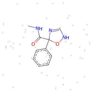 CNC(=O)C1(c2ccccc2)N=[C]NO1